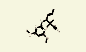 CC=CC(Oc1nc(OC)cc(OC)n1)C(C)(C)C#N